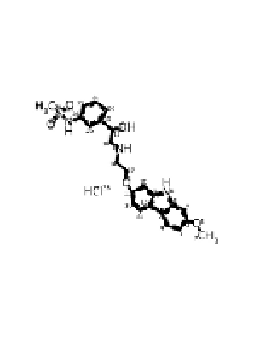 COc1ccc2c(c1)[nH]c1cc(OCCNCC(O)c3cccc(NS(C)(=O)=O)c3)ccc12.Cl